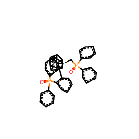 O=P(C[C@@]12[CH]3[CH]4[CH]5[C]1(c1ccccc1P(=O)(c1ccccc1)c1ccccc1)[Fe]45321678[CH]2[CH]1[CH]6[CH]7[CH]28)(c1ccccc1)c1ccccc1